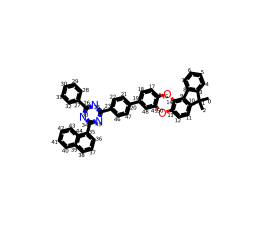 CC1(C)c2ccccc2-c2c1ccc1c2Oc2ccc(-c3ccc(-c4nc(-c5ccccc5)nc(-c5cccc6ccccc56)n4)cc3)cc2O1